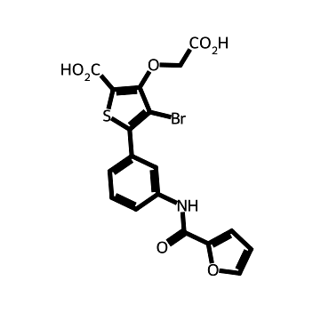 O=C(O)COc1c(C(=O)O)sc(-c2cccc(NC(=O)c3ccco3)c2)c1Br